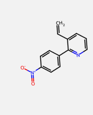 C=Cc1cccnc1-c1ccc([N+](=O)[O-])cc1